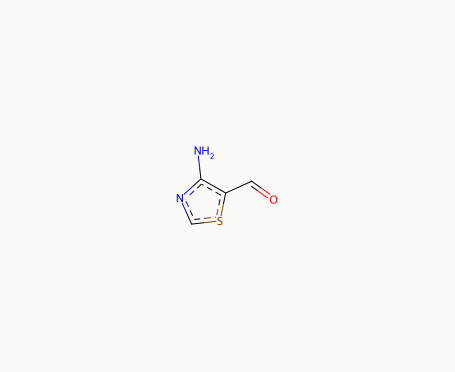 Nc1ncsc1C=O